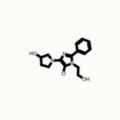 OCCn1c(-c2ccccc2)nc(N2CCC(O)C2)c1Cl